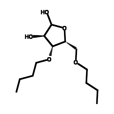 CCCCOC[C@H]1OC(O)[C@H](O)[C@H]1OCCCC